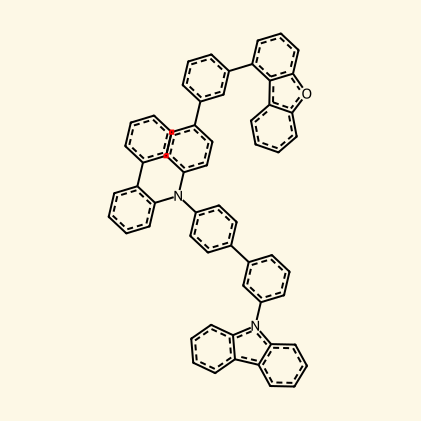 c1ccc(-c2ccccc2N(c2ccc(-c3cccc(-c4cccc5oc6ccccc6c45)c3)cc2)c2ccc(-c3cccc(-n4c5ccccc5c5ccccc54)c3)cc2)cc1